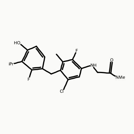 CNC(=O)CNc1cc(Cl)c(Cc2ccc(O)c(C(C)C)c2F)c(C)c1F